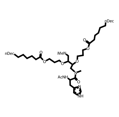 CCCCCCCCCCCCCCCC(=O)OCCCOC(CNC)C(CN(C)C(=O)C(Cc1c[nH]cn1)NC(C)=O)OCCCOC(=O)CCCCCCCCCCCCCCC